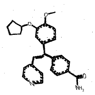 COc1ccc(/C(=C/c2ccncc2)c2ccc(C(N)=O)cc2)cc1OC1CCCC1